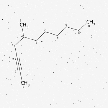 CC#CCC(C)CCC[CH]CC